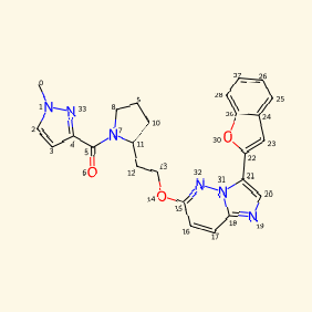 Cn1ccc(C(=O)N2CCCC2CCOc2ccc3ncc(-c4cc5ccccc5o4)n3n2)n1